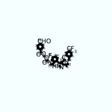 CC1(C)c2n[nH]c(-c3ccc(F)c4c3ccn4C(=O)OCOC(=O)c3ccc(C=O)cc3)c2CN1Cc1ccc(C(F)(F)F)cc1C(F)(F)F